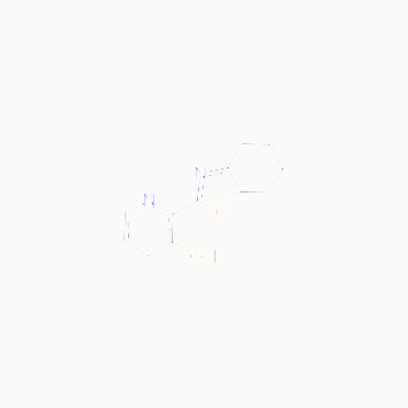 Oc1cccnc1-c1nc2c(o1)CCCC2